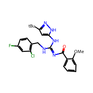 COc1ccccc1C(=O)/N=C(/NCc1ccc(F)cc1Cl)Nc1cc(C(C)(C)C)n[nH]1